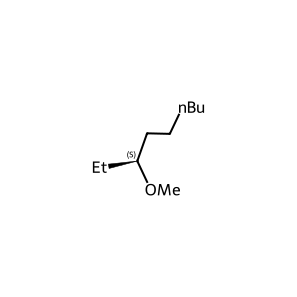 CCCCCC[C@H](CC)OC